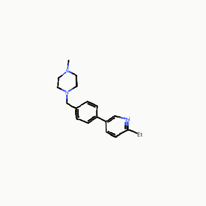 CCc1ccc(-c2ccc(CN3CCN(C)CC3)cc2)cn1